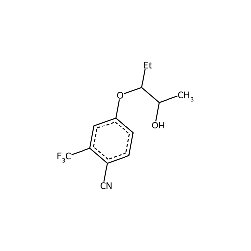 CCC(Oc1ccc(C#N)c(C(F)(F)F)c1)C(C)O